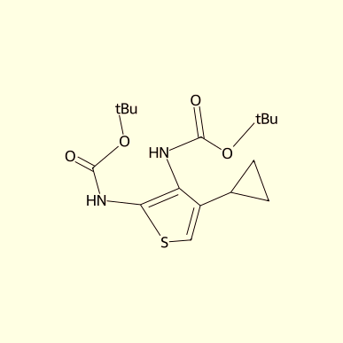 CC(C)(C)OC(=O)Nc1scc(C2CC2)c1NC(=O)OC(C)(C)C